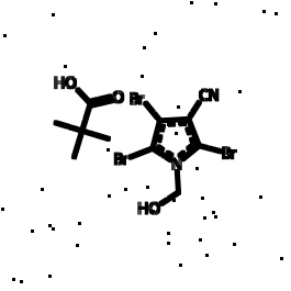 CC(C)(C)C(=O)O.N#Cc1c(Br)c(Br)n(CO)c1Br